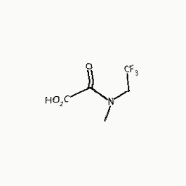 CN(CC(F)(F)F)C(=O)C(=O)O